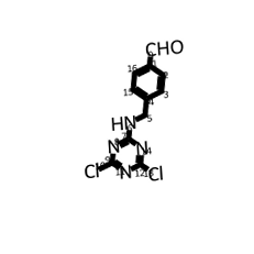 O=Cc1ccc(CNc2nc(Cl)nc(Cl)n2)cc1